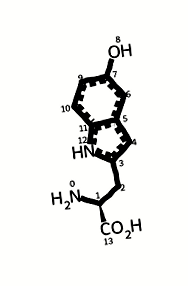 N[C@@H](Cc1cc2cc(O)ccc2[nH]1)C(=O)O